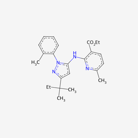 CCOC(=O)c1ccc(C)nc1Nc1cc(C(C)(C)CC)nn1-c1ccccc1C